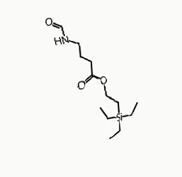 CC[Si](CC)(CC)CCOC(=O)CCCNC=O